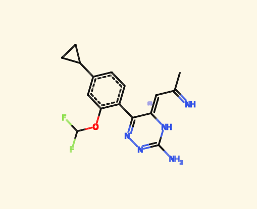 CC(=N)/C=C1\NC(N)=NN=C1c1ccc(C2CC2)cc1OC(F)F